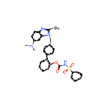 CCCCc1nc2ccc(N(C)C)cc2n1Cc1ccc(-c2ccccc2OC(=O)NS(=O)(=O)c2ccccc2)cc1